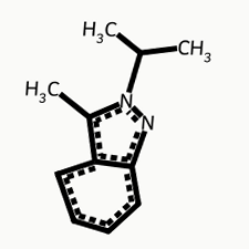 Cc1c2ccccc2nn1C(C)C